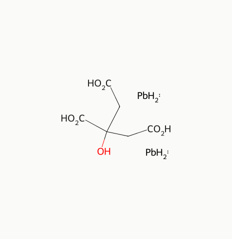 O=C(O)CC(O)(CC(=O)O)C(=O)O.[PbH2].[PbH2]